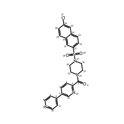 O=C(c1ccc(-c2ccncc2)cn1)N1CCN(S(=O)(=O)c2ccc3cc(Cl)ccc3c2)CC1